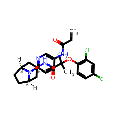 CC(C)(Oc1ccc(Cl)cc1Cl)C(=O)N[C@H]1C[C@H]2CC[C@@H](C1)N2c1ccc(NC(=O)CC(F)(F)F)cn1